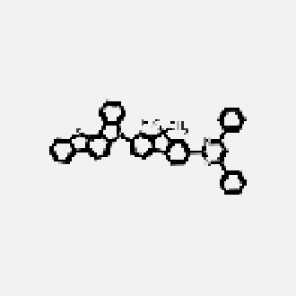 CC1(C)c2cc(-c3nc(-c4ccccc4)cc(-c4ccccc4)n3)ccc2-c2ccc(-n3c4ccccc4c4c5sc6ccccc6c5ccc43)cc21